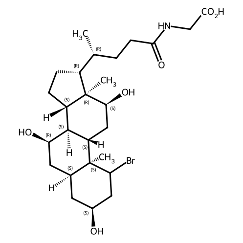 C[C@H](CCC(=O)NCC(=O)O)[C@H]1CC[C@H]2[C@@H]3[C@H](O)C[C@@H]4C[C@H](O)CC(Br)[C@]4(C)[C@H]3C[C@H](O)[C@]12C